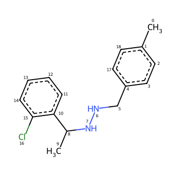 Cc1ccc(CNNC(C)c2ccccc2Cl)cc1